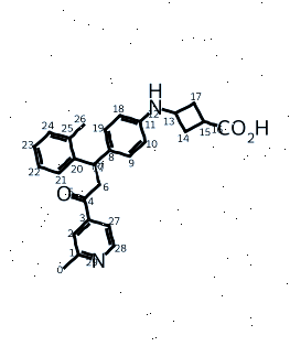 Cc1cc(C(=O)C[C@H](c2ccc(NC3CC(C(=O)O)C3)cc2)c2ccccc2C)ccn1